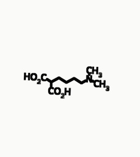 CN(C)CCCCC(C(=O)O)C(=O)O